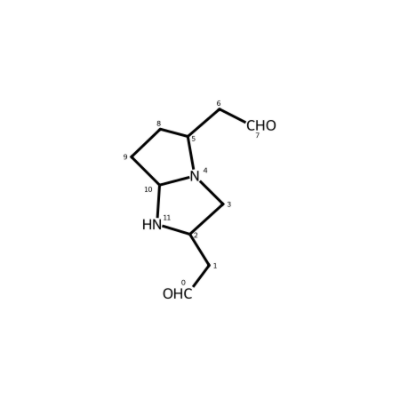 O=CCC1CN2C(CC=O)CCC2N1